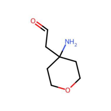 NC1(CC=O)CCOCC1